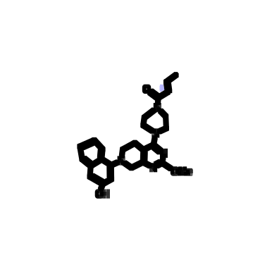 C/C=C/C(=O)N1CCN(c2nc(OC)nc3c2CCN(c2cc(O)cc4ccccc24)C3)CC1